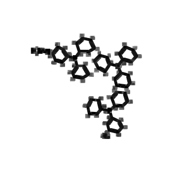 [N-]=[NH2+].[Ru].c1ccc(P(c2ccccc2)c2ccccc2)cc1.c1ccc(P(c2ccccc2)c2ccccc2)cc1.c1ccc(P(c2ccccc2)c2ccccc2)cc1